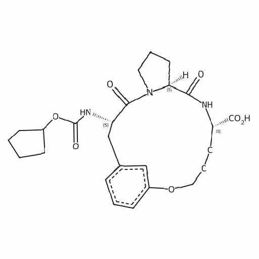 O=C(N[C@H]1Cc2cccc(c2)OCCC[C@@H](C(=O)O)NC(=O)[C@@H]2CCCN2C1=O)OC1CCCC1